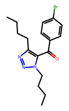 CCCCc1nnn(CCCC)c1C(=O)c1ccc(Br)cc1